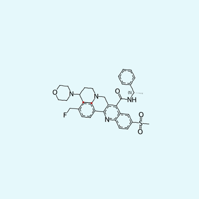 C[C@H](NC(=O)c1c(CN2CCC(N3CCOCC3)CC2)c(-c2ccc(CF)cc2)nc2ccc(S(C)(=O)=O)cc12)c1ccccc1